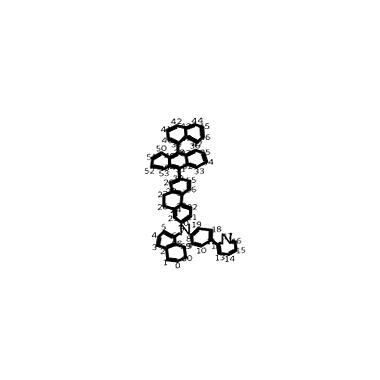 C1=Cc2cccc(N(c3ccc(-c4ccccn4)cc3)c3ccc4c(c3)CCc3cc(-c5c6ccccc6c(-c6cccc7ccccc67)c6ccccc56)ccc3-4)c2CC1